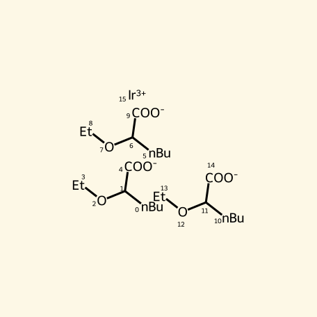 CCCCC(OCC)C(=O)[O-].CCCCC(OCC)C(=O)[O-].CCCCC(OCC)C(=O)[O-].[Ir+3]